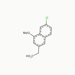 COc1cc(CC(=O)O)cc2ccc(Cl)cc12